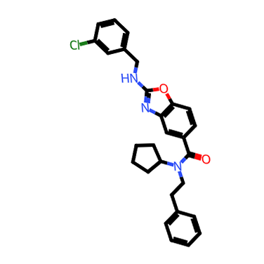 O=C(c1ccc2oc(NCc3cccc(Cl)c3)nc2c1)N(CCc1ccccc1)C1CCCC1